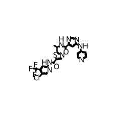 CC(NC(=O)c1cc(Nc2ccncc2)ncn1)c1ncc(C(=O)Nc2cc(C(F)(F)F)c(Cl)cn2)s1